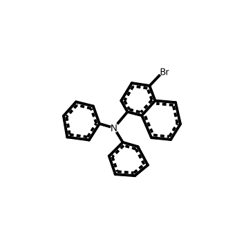 Brc1ccc(N(c2ccccc2)c2ccccc2)c2ccccc12